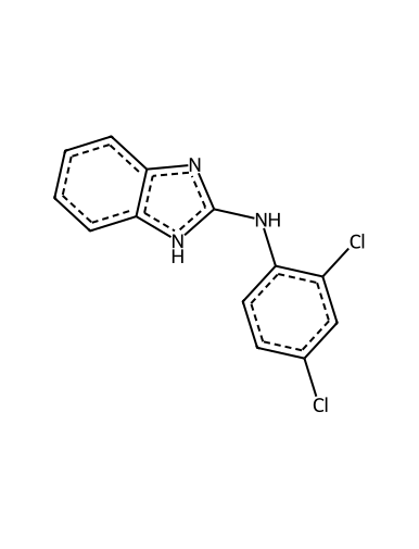 Clc1ccc(Nc2nc3ccccc3[nH]2)c(Cl)c1